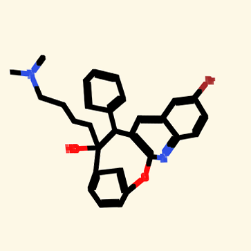 CN(C)CCCCC1(O)c2cccc(c2)Oc2nc3ccc(Br)cc3cc2C1c1ccccc1